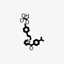 CC(C)c1ccc(C(=O)c2cccn2C/C=C/c2ccc(CO[C@H](C)C(=O)O)cc2)cc1